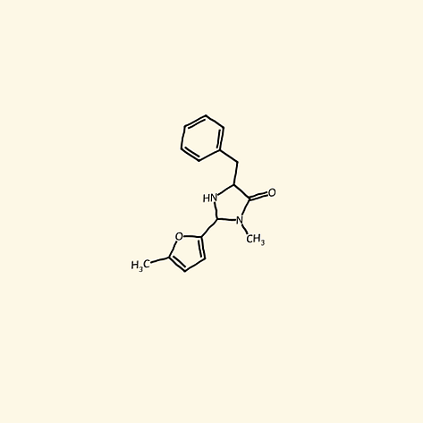 Cc1ccc(C2NC(Cc3ccccc3)C(=O)N2C)o1